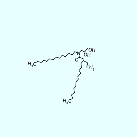 CCCCCCCCCCCCCCN(CC(O)CO)C(=O)CC(CC)CCCCCCCCCCCCC